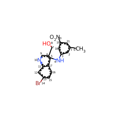 Cc1cc(Nc2c(CO)cnc3cc(Br)ccc23)cc([N+](=O)[O-])c1